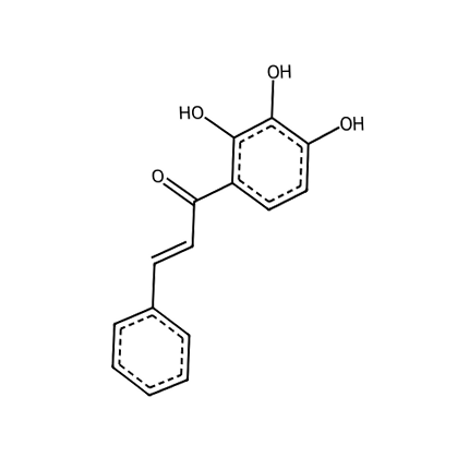 O=C(C=Cc1ccccc1)c1ccc(O)c(O)c1O